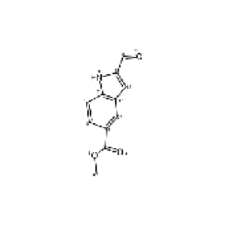 COC(=O)c1ccc2[nH]c(C=O)cc2c1